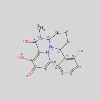 CN1C(=O)c2c(O)c(=O)ccn2N2C(c3c(F)cccc3F)CCCC12